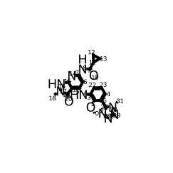 COc1c(Nc2cc(NC(=O)C3CC3)nc3[nH]n(C)c(=O)c23)cccc1-c1nnnn1C